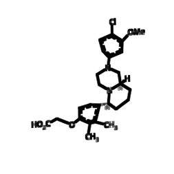 COc1cc(N2CCN3[C@@H](CCC[C@@H]3c3ccc(OCC(=O)O)c(C)c3C)C2)ccc1Cl